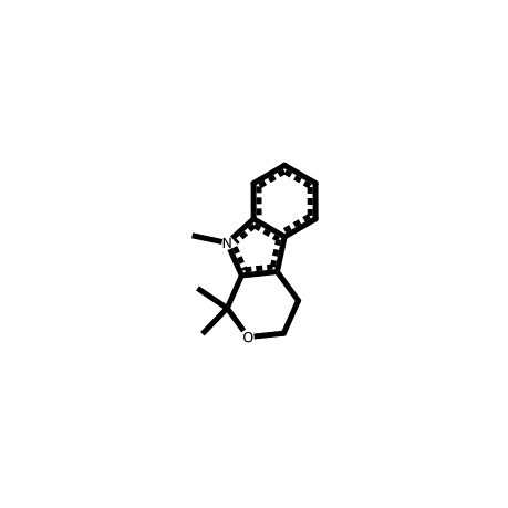 Cn1c2c(c3ccccc31)CCOC2(C)C